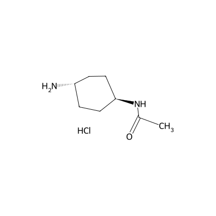 CC(=O)N[C@H]1CC[C@H](N)CC1.Cl